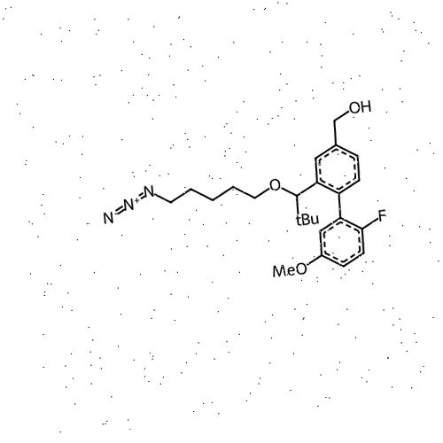 COc1ccc(F)c(-c2ccc(CO)cc2C(OCCCCCN=[N+]=[N-])C(C)(C)C)c1